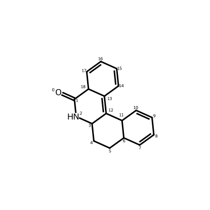 O=C1NC2CCC3C=CC=CC3C2=C2C=CC=CC12